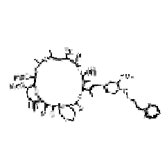 CCC1/C=C(\C)CC(C)CC(OC)C2OC(O)(C(=O)C(=O)N3CCCCC3C(=O)OC(C(C)=CC3CCC(OCC=Cc4ccccc4)C(OC)C3)C(C)C(O)CC1=O)C(C)CC2OC